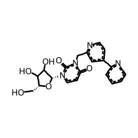 O=c1ccn([C@@H]2O[C@H](CO)C(O)C2O)c(=O)n1Cc1cc(-c2ccccn2)ccn1